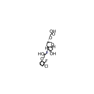 O=C(O)COC[C@H]1CC[C@@H]2[C@@H](/C=C/[C@@H](O)COc3cccc(Cl)c3F)[C@H](O)C[C@@H]2OC1